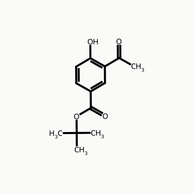 CC(=O)c1cc(C(=O)OC(C)(C)C)ccc1O